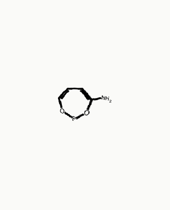 NC1=CC=CO[P]O1